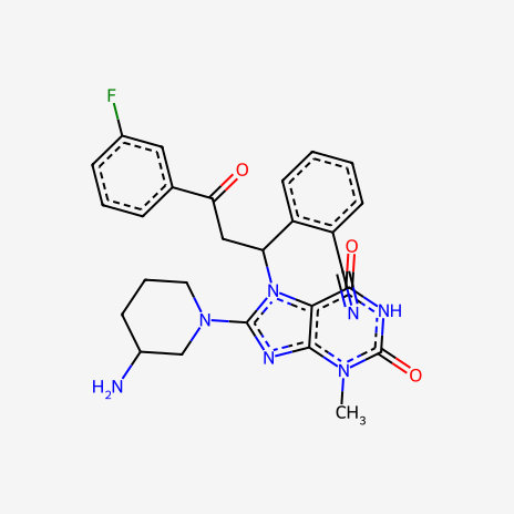 Cn1c(=O)[nH]c(=O)c2c1nc(N1CCCC(N)C1)n2C(CC(=O)c1cccc(F)c1)c1ccccc1C#N